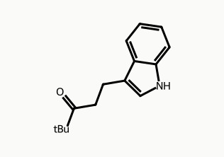 CC(C)(C)C(=O)CCc1c[nH]c2ccccc12